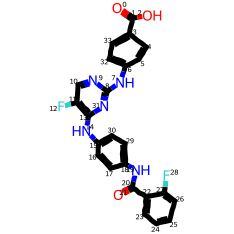 O=C(O)c1ccc(Nc2ncc(F)c(Nc3ccc(NC(=O)c4ccccc4F)cc3)n2)cc1